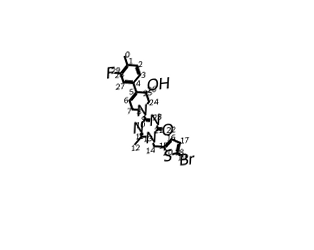 Cc1ccc(C2=CCN(c3nc(C)n(Cc4ccc(Br)s4)c(=O)n3)CC2O)cc1F